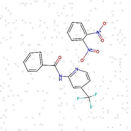 O=C(Nc1cc(C(F)(F)F)ccn1)c1ccccc1.O=[N+]([O-])c1ccccc1[N+](=O)[O-]